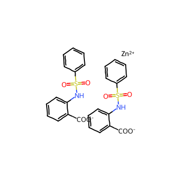 O=C([O-])c1ccccc1NS(=O)(=O)c1ccccc1.O=C([O-])c1ccccc1NS(=O)(=O)c1ccccc1.[Zn+2]